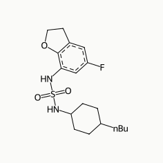 CCCCC1CCC(NS(=O)(=O)Nc2cc(F)cc3c2OCC3)CC1